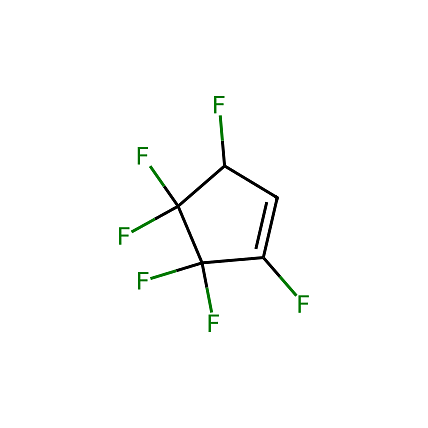 FC1=CC(F)C(F)(F)C1(F)F